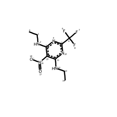 CCNc1nc(C(F)(F)F)nc(NCC)c1[N+](=O)[O-]